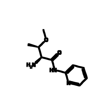 CO[C@H](C)[C@H](N)C(=O)Nc1ccccn1